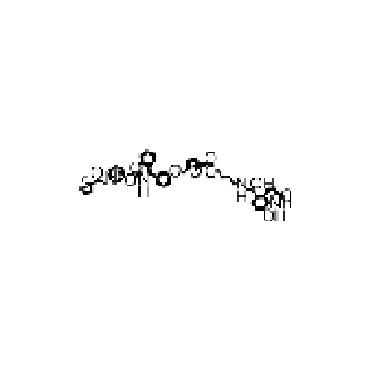 O=C(NC(c1ccccc1)c1cccc(OCc2ccc(C(=O)OCCCCNCC(O)c3ccc(O)c4[nH]c(=O)ccc34)o2)c1)OC1C[N+]2(CC(=O)c3cccs3)CCC1CC2